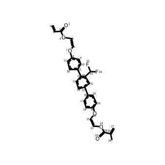 C=CC(=O)O/C=C\Oc1ccc(-c2ccc(-c3ccc(O/C=C\OC(=O)C(=C)C)cc3)cc2C(F)F)cc1